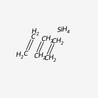 C=C.C=C.C=C.[SiH4]